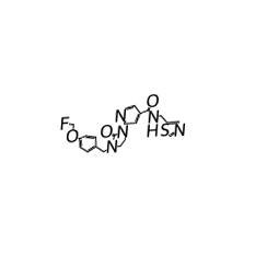 O=C(NCc1cncs1)c1ccnc(N2CCN(Cc3ccc(OCF)cc3)C2=O)c1